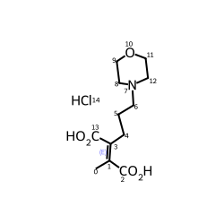 C/C(C(=O)O)=C(/CCCN1CCOCC1)C(=O)O.Cl